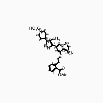 COC(=O)c1ccccc1CCOc1cc(-c2nnn(C3CCN(C(=O)O)CC3)c2C)cn2ncc(C#N)c12